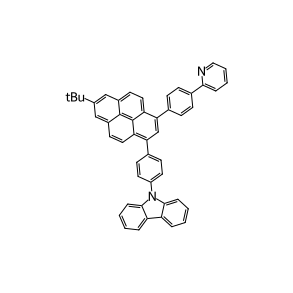 CC(C)(C)c1cc2ccc3c(-c4ccc(-c5ccccn5)cc4)cc(-c4ccc(-n5c6ccccc6c6ccccc65)cc4)c4ccc(c1)c2c34